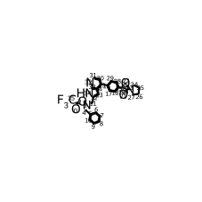 O=C(ON(Cc1ccccc1)Cc1cc2c(-c3ccc(S(=O)(=O)N4CCCC4)cc3)ccnc2[nH]1)C(F)(F)F